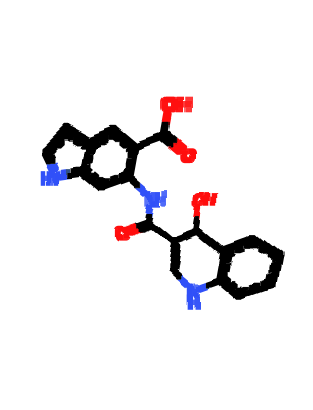 O=C(Nc1cc2[nH]ccc2cc1C(=O)O)C1=CNc2ccccc2C1O